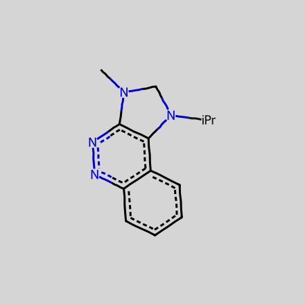 CC(C)N1CN(C)c2nnc3ccccc3c21